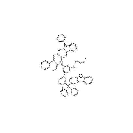 C=C(/C=C\C=C/C)c1cc(-c2ccc3c(c2)C2(c4ccccc4-3)c3ccccc3-c3c2ccc2oc4ccccc4c32)cc(N(C(=C/C)/C(=C\C)c2ccccc2)c2ccc3c(c2)c2ccccc2n3-c2ccccc2)c1